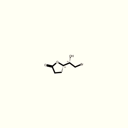 O=C1CC[C@@H]([C@H](O)CBr)O1